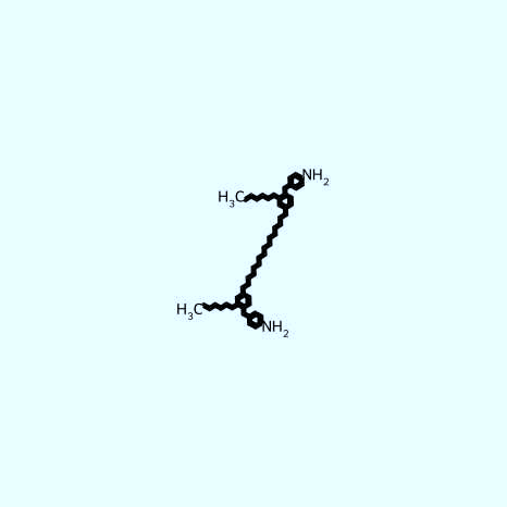 CCCCCCCc1cc(CCCCCCCCCCCCCCCCc2ccc(Cc3ccc(N)cc3)c(CCCCCCC)c2)ccc1Cc1ccc(N)cc1